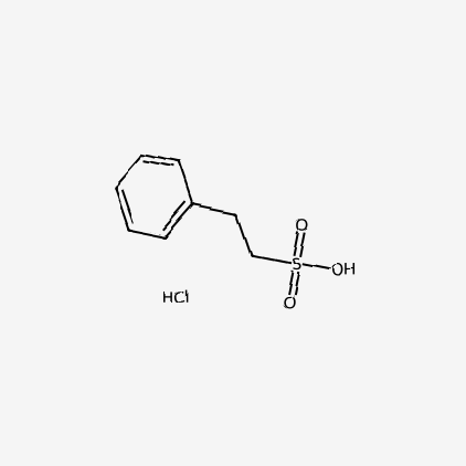 Cl.O=S(=O)(O)CCc1ccccc1